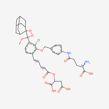 COC1(c2ccc(/C=C/C=C/C(=O)OC(CC(=O)O)C(=O)O)c(OCc3ccc(NC(=O)CC[C@@H](N)C(=O)O)cc3)c2Cl)OOC12C1CC3CC(C1)CC2C3